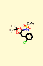 COS(=O)(=O)NC1OC(C)(C)OC1Cc1ccccc1Cl